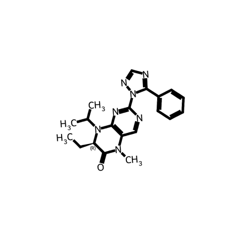 CC[C@@H]1C(=O)N(C)c2cnc(-n3ncnc3-c3ccccc3)nc2N1C(C)C